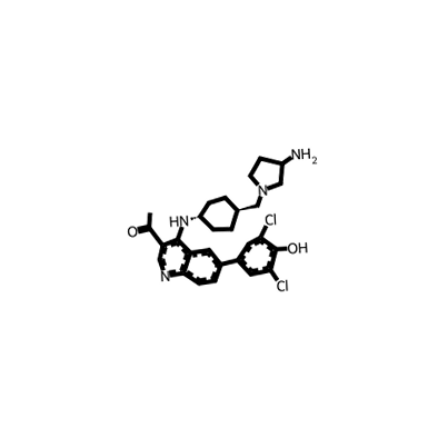 CC(=O)c1cnc2ccc(-c3cc(Cl)c(O)c(Cl)c3)cc2c1N[C@H]1CC[C@H](CN2CCC(N)C2)CC1